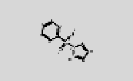 O=S(=O)(c1ccccc1)n1cccn1